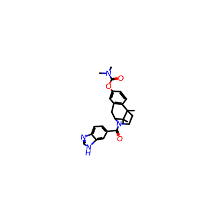 CN(C)C(=O)Oc1ccc2c(c1)CC1N(C(=O)c3ccc4nc[nH]c4c3)CCC2(C)C1(C)C